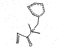 C=CC(=O)[N+](C)(C)Cc1ccccc1